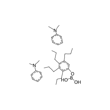 CCCc1cc(OB(O)O)c(CCC)c(CCC)c1CCC.CN(C)c1ccccc1.CN(C)c1ccccc1